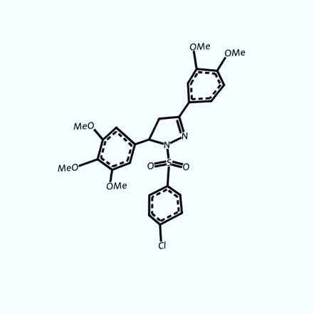 COc1ccc(C2=NN(S(=O)(=O)c3ccc(Cl)cc3)C(c3cc(OC)c(OC)c(OC)c3)C2)cc1OC